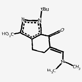 CN(C)C=C1CCc2c(C(=O)O)nn(C(C)(C)C)c2C1=O